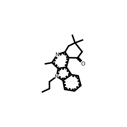 CCCn1c2ccccc2c2c3c(nc(C)c21)CC(C)(C)CC3=O